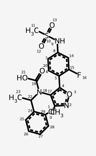 Cc1noc(-c2ccc(NS(C)(=O)=O)cc2F)c1N(C(=O)O)C(C)c1ccccc1Cl